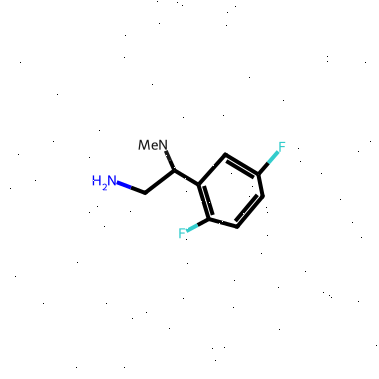 CNC(CN)c1cc(F)ccc1F